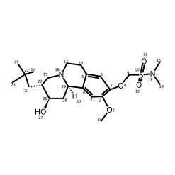 COc1cc2c(cc1OCS(=O)(=O)N(C)C)CCN1C[C@@H](CC(C)(C)C)[C@H](O)C[C@H]21